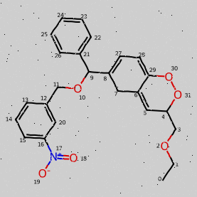 CCOCC1C=C2CC(C(OCc3cccc([N+](=O)[O-])c3)c3ccccc3)=CC=C2OO1